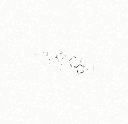 NC(=O)c1nc(-c2cnc3[nH]ccc3c2Cl)no1